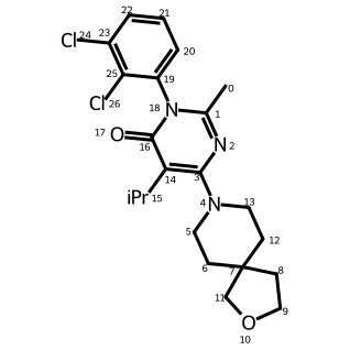 Cc1nc(N2CCC3(CCOC3)CC2)c(C(C)C)c(=O)n1-c1cccc(Cl)c1Cl